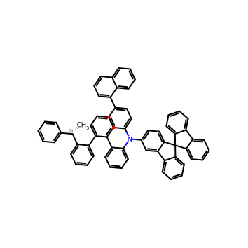 C[C@@H](c1ccccc1)c1ccccc1-c1ccccc1-c1ccccc1N(c1ccc(-c2cccc3ccccc23)cc1)c1ccc2c(c1)-c1ccccc1C21c2ccccc2-c2ccccc21